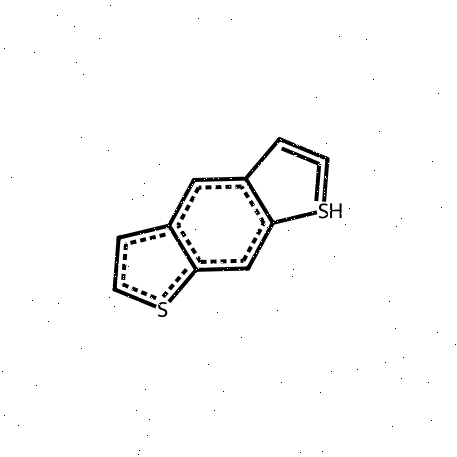 C1=Cc2cc3ccsc3cc2[SH]=1